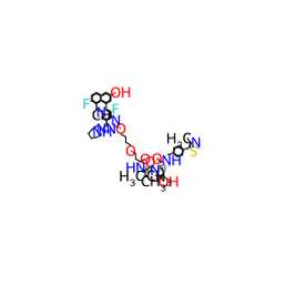 C#Cc1c(F)ccc2cc(O)cc(-c3ncc4c(N5CC6CCC(C5)N6)nc(OCCCCOCCC(=O)N[C@H](C(=O)N5C[C@H](O)C[C@H]5C(=O)NCc5ccc(-c6scnc6C)cc5)C(C)(C)C)nc4c3F)c12